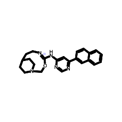 c1ccc2cc(-c3cc(N/C4=N/CCC5CCN(CC5)CO4)ncn3)ccc2c1